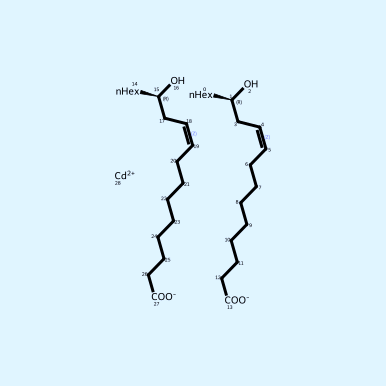 CCCCCC[C@@H](O)C/C=C\CCCCCCCC(=O)[O-].CCCCCC[C@@H](O)C/C=C\CCCCCCCC(=O)[O-].[Cd+2]